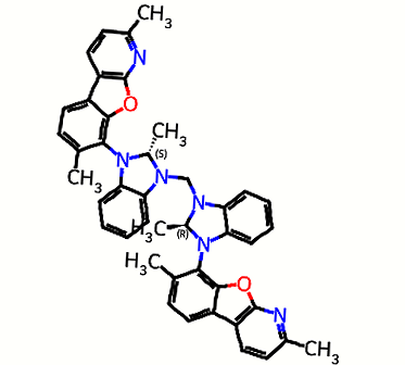 Cc1ccc2c(n1)oc1c(N3c4ccccc4N(CN4c5ccccc5N(c5c(C)ccc6c5oc5nc(C)ccc56)[C@H]4C)[C@H]3C)c(C)ccc12